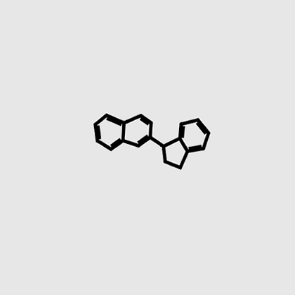 c1ccc2c(c1)CC[C]2c1ccc2ccccc2c1